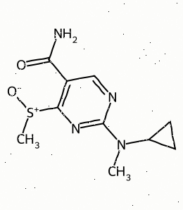 CN(c1ncc(C(N)=O)c([S+](C)[O-])n1)C1CC1